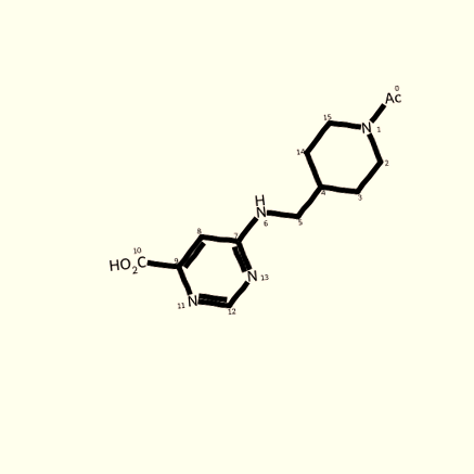 CC(=O)N1CCC(CNc2cc(C(=O)O)ncn2)CC1